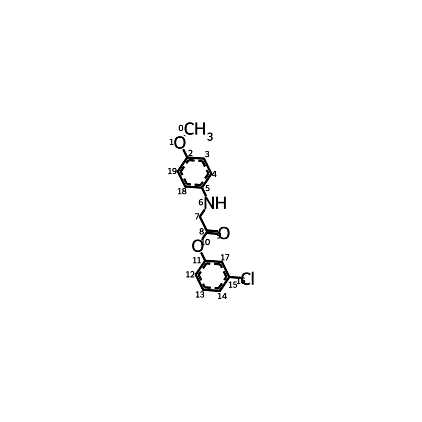 COc1ccc(NCC(=O)Oc2cccc(Cl)c2)cc1